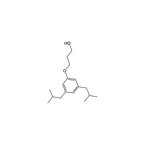 CC(C)Cc1cc(CC(C)C)cc(OCCCO)c1